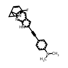 CN(C)c1ccc(C#Cc2cc3ccc(C45C=CC(F)=NC4C5)nc3[nH]2)cc1